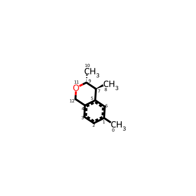 Cc1ccc2c(c1)[C@H](C)[C@@H](C)OC2